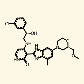 COC[C@H]1CN(c2cc(C)c3nc(-c4c(NC[C@@H](O)c5cccc(Cl)c5)cc[nH]c4=O)[nH]c3c2)CCO1